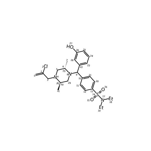 C=C(Cl)CN1C[C@H](C)N(C(c2ccc(S(=O)(=O)N(CC)CC)cc2)c2cccc(O)c2)C[C@H]1C